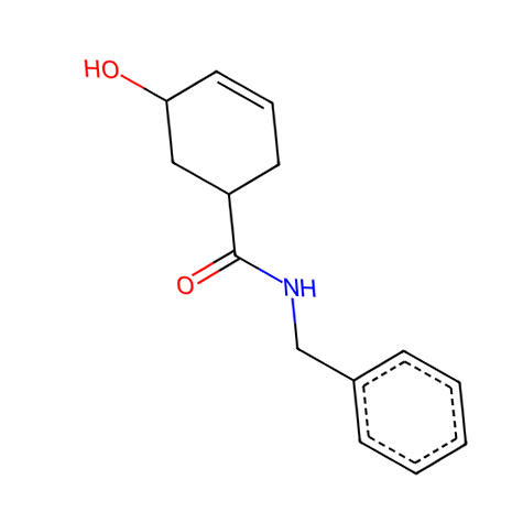 O=C(NCc1ccccc1)C1CC=CC(O)C1